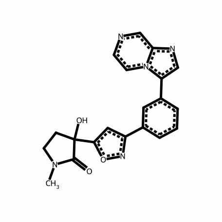 CN1CCC(O)(c2cc(-c3cccc(-c4cnc5cnccn45)c3)no2)C1=O